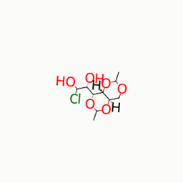 CC1OC[C@H]2OC(C)O[C@H]([C@@H](O)C(O)Cl)[C@@H]2O1